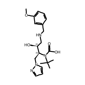 COc1cccc(CNC[C@H](O)[C@H](Cn2cccn2)N(C(=O)O)C(C)(C)C)c1